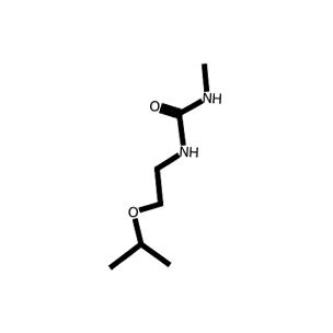 CNC(=O)NCCOC(C)C